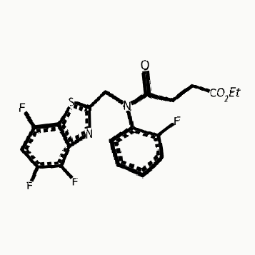 CCOC(=O)CCC(=O)N(Cc1nc2c(F)c(F)cc(F)c2s1)c1ccccc1F